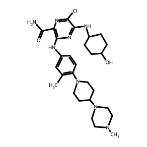 Cc1cc(Nc2nc(NC3CCC(O)CC3)c(Cl)nc2C(N)=O)ccc1N1CCC(N2CCN(C)CC2)CC1